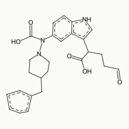 O=CCCC(C(=O)O)c1c[nH]c2ccc(N(C(=O)O)N3CCC(Cc4ccccc4)CC3)cc12